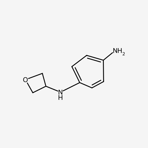 Nc1ccc(NC2COC2)cc1